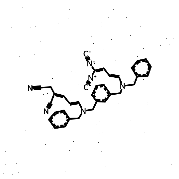 [C-]#[N+]C(=C/C=C/N(Cc1ccccc1)Cc1cccc(CN(/C=C/C=C(\C#N)CC#N)Cc2ccccc2)c1)[N+]#[C-]